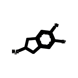 CC1Cc2cc(Br)c(Br)cc2C1